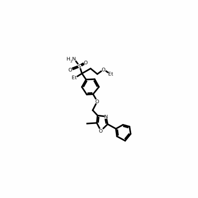 CCOCCC(CC)(c1ccc(OCc2nc(-c3ccccc3)oc2C)cc1)S(N)(=O)=O